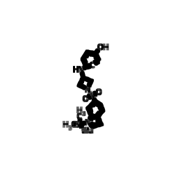 CC(C)(C)[Si](C)(C)n1ccc2ccc(S(=O)(=O)N3CC(Nc4ccc(O)cc4)C3)cc21